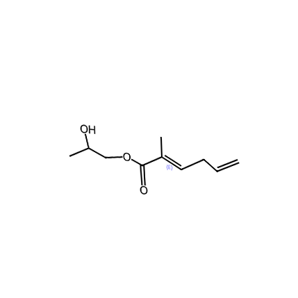 C=CC/C=C(\C)C(=O)OCC(C)O